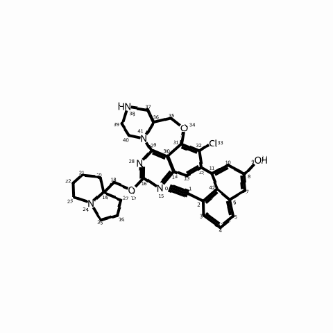 C#Cc1cccc2cc(O)cc(-c3cc4nc(OCC56CCCCN5CCC6)nc5c4c(c3Cl)OCC3CNCCN53)c12